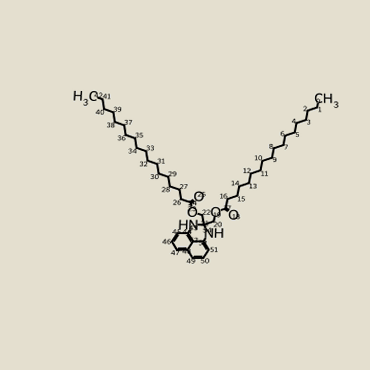 CCCCCCCCCCCCCCCCCC(=O)OCC1(COC(=O)CCCCCCCCCCCCCCCCC)Nc2cccc3cccc(c23)N1